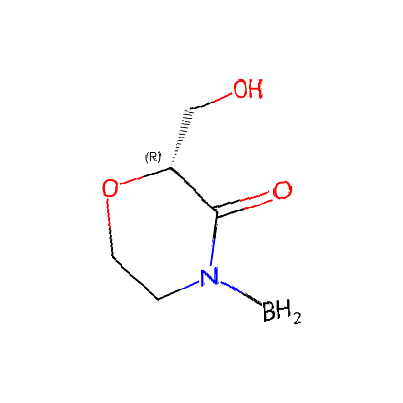 BN1CCO[C@H](CO)C1=O